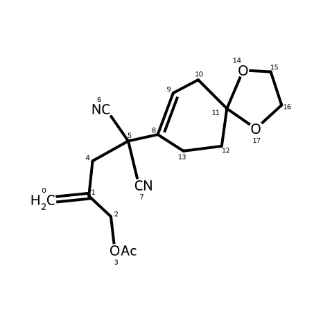 C=C(COC(C)=O)CC(C#N)(C#N)C1=CCC2(CC1)OCCO2